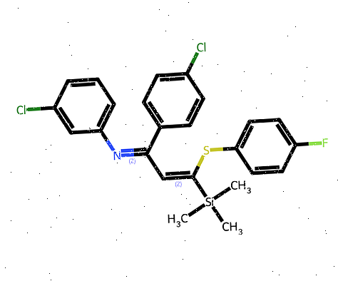 C[Si](C)(C)/C(=C/C(=N/c1cccc(Cl)c1)c1ccc(Cl)cc1)Sc1ccc(F)cc1